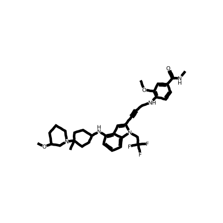 CNC(=O)c1ccc(NCC#Cc2cc3c(NC4CCC(C)(N5CCCC(OC)C5)CC4)cccc3n2CC(F)(F)F)c(OC)c1